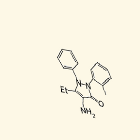 CCc1c(N)c(=O)n(-c2ccccc2C)n1-c1ccccc1